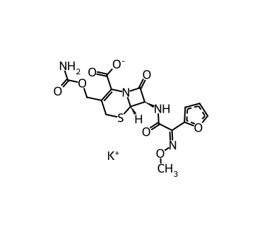 CO/N=C(\C(=O)N[C@@H]1C(=O)N2C(C(=O)[O-])=C(COC(N)=O)CS[C@@H]12)c1ccco1.[K+]